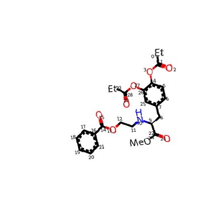 CCC(=O)Oc1ccc(C[C@H](NCCOC(=O)c2ccccc2)C(=O)OC)cc1OC(=O)CC